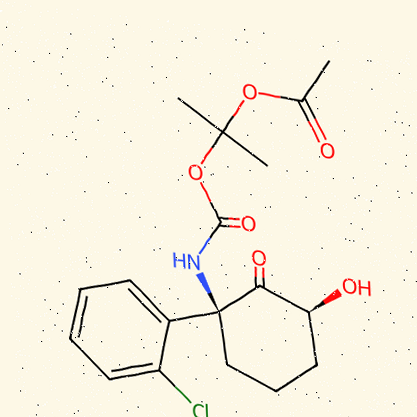 CC(=O)OC(C)(C)OC(=O)N[C@]1(c2ccccc2Cl)CCC[C@H](O)C1=O